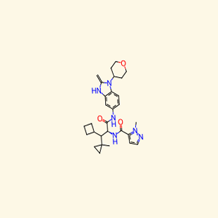 C=C1Nc2cc(NC(=O)[C@@H](NC(=O)c3ccnn3C)C(C3CCC3)C3(C)CC3)ccc2N1C1CCOCC1